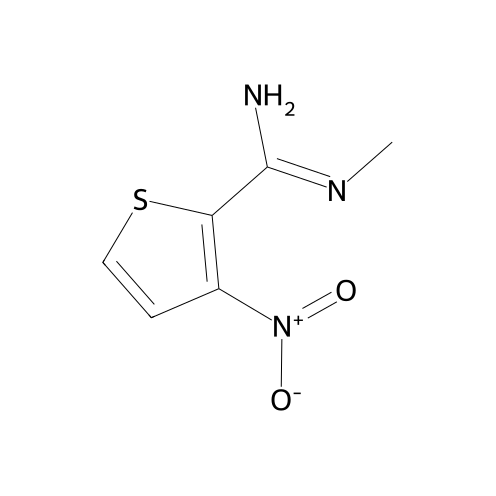 CN=C(N)c1sccc1[N+](=O)[O-]